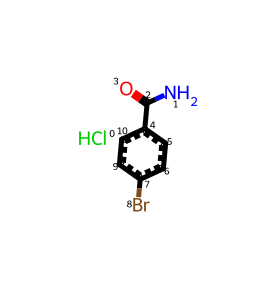 Cl.NC(=O)c1ccc(Br)cc1